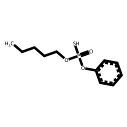 CCCCCOP(=O)(S)Oc1ccccc1